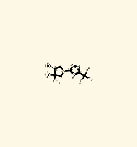 CC1(C)CN(c2nnc(C(F)(F)F)s2)C[C@H]1O